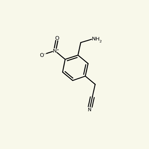 N#CCc1ccc([N+](=O)[O-])c(CN)c1